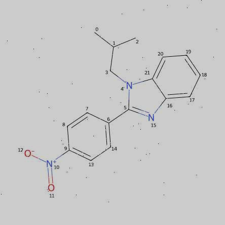 CC(C)Cn1c(-c2ccc([N+](=O)[O-])cc2)nc2ccccc21